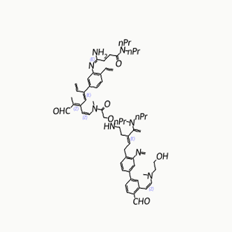 C=C\C(=C/C(/C=C\N(C)C(=O)CONCC/C(=C\Cc1ccc(-c2ccc(C=O)c(/C=C\N(C)CCO)c2)cc1N=C)C(=C)N(CCC)CCC)=C(\C)C=O)c1ccc(C=C)c(/N=C(/N)CCC(=O)N(CCC)CCC)c1